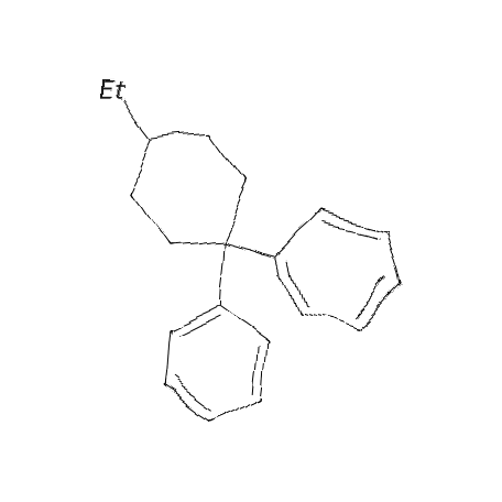 CCC1CCC(c2ccccc2)(c2ccccc2)CC1